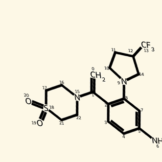 C=C(c1ccc(N)cc1N1CCC(C(F)(F)F)C1)N1CCS(=O)(=O)CC1